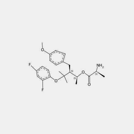 COc1ccc(C[C@@H]([C@H](C)OC(=O)[C@H](C)N)C(C)(C)Oc2ccc(F)cc2F)cc1